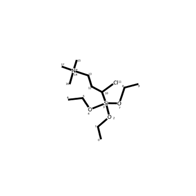 CCO[Si](OCC)(OCC)C(Cl)CC[N+](C)(C)C